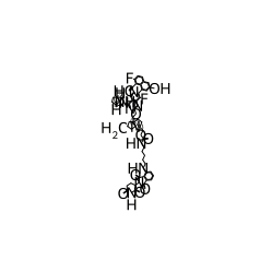 C#Cc1c(F)ccc2cc(O)cc(-c3ncc4c(N5C[C@H]6CC[C@@H](C5)N6)nc(OC[C@@]56CC[C@@H](COC(=O)NCCCCCNc7cccc8c7C(=O)N(C7CCC(=O)NC7=O)C8=O)N5CC(=C)C6)nc4c3F)c12